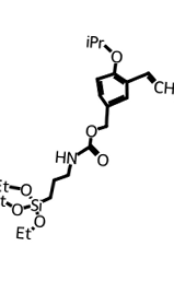 C=Cc1cc(COC(=O)NCCC[Si](OCC)(OCC)OCC)ccc1OC(C)C